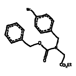 CCOC(=O)CN(Cc1ccc(Br)cc1)C(=O)OCc1ccccc1